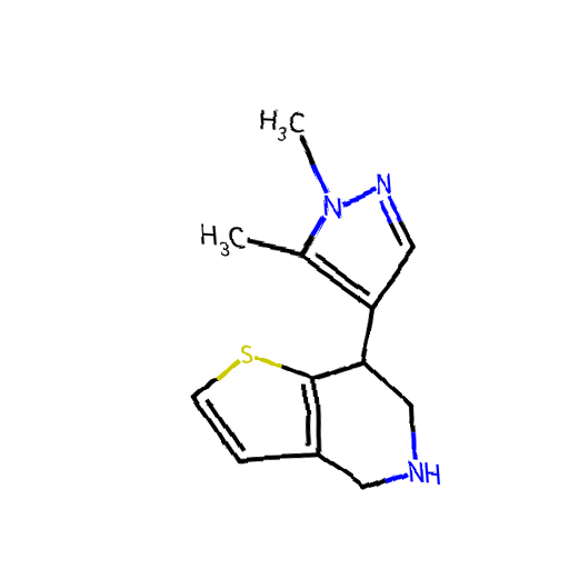 Cc1c(C2CNCc3ccsc32)cnn1C